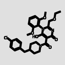 CCOCc1nc(=O)c(C(=O)N2CCC(Cc3ccc(Cl)cc3)CC2)c(O)n1-c1c(OC)cccc1OC